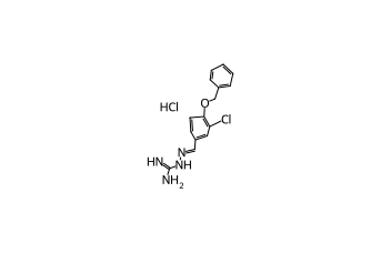 Cl.N=C(N)N/N=C/c1ccc(OCc2ccccc2)c(Cl)c1